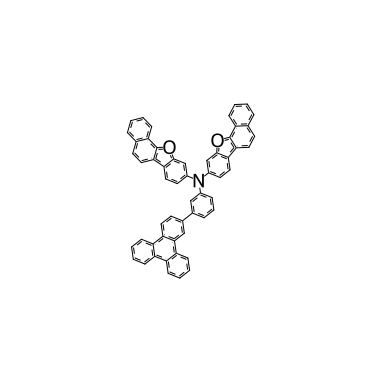 c1cc(-c2ccc3c4ccccc4c4ccccc4c3c2)cc(N(c2ccc3c(c2)oc2c4ccccc4ccc32)c2ccc3c(c2)oc2c4ccccc4ccc32)c1